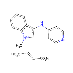 Cn1cc(Nc2ccncc2)c2ccccc21.O=C(O)/C=C/C(=O)O